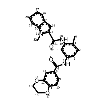 Cc1ccc(NC(=O)c2ccc3c(c2)OCCO3)cc1NC(=O)c1cc2ccccc2n1C